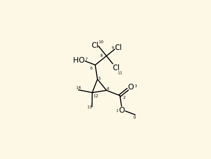 COC(=O)C1C(C(O)C(Cl)(Cl)Cl)C1(C)C